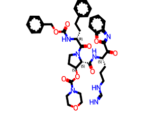 N=CNCCC[C@H](NC(=O)[C@@H]1[C@@H](OC(=O)N2CCOCC2)CCN1C(=O)[C@@H](CCc1ccccc1)NC(=O)OCc1ccccc1)C(=O)c1nc2ccccc2o1